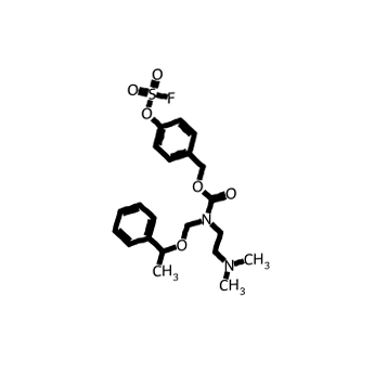 CC(OCN(CCN(C)C)C(=O)OCc1ccc(OS(=O)(=O)F)cc1)c1ccccc1